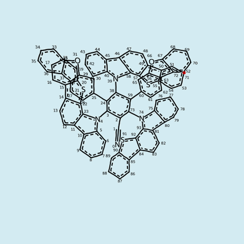 N#Cc1c(-n2c3ccccc3c3ccc4c5ccccc5sc4c32)c(-c2ccc3c(c2)oc2ccccc23)c(-n2c3ccccc3c3ccc4c5ccccc5sc4c32)c(-c2ccc3c(c2)oc2ccccc23)c1-n1c2ccccc2c2ccc3c4ccccc4sc3c21